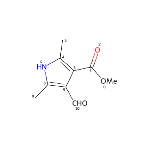 COC(=O)c1c(C)[nH]c(C)c1C=O